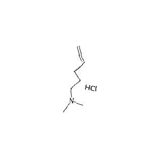 C=CCCCN(C)C.Cl